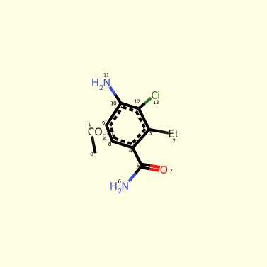 CC(=O)O.CCc1c(C(N)=O)ccc(N)c1Cl